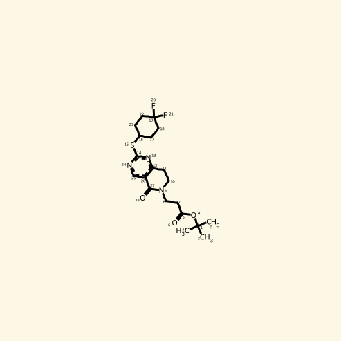 CC(C)(C)OC(=O)CCN1CCc2nc(SC3CCC(F)(F)CC3)ncc2C1=O